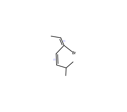 C/C=C(Br)\C=C/C(C)C